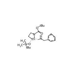 CC(C)(C)OC(=O)N1CC[C@@H](O[Si](C)(C)C(C)(C)C)[C@H]1CNCc1ccccc1